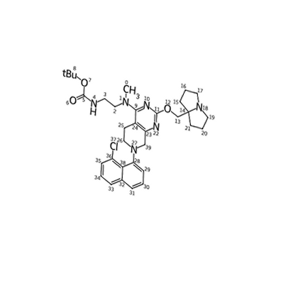 CN(CCNC(=O)OC(C)(C)C)c1nc(OCC23CCCN2CCC3)nc2c1CCN(c1cccc3cccc(Cl)c13)C2